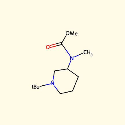 COC(=O)N(C)C1CCCN(C(C)(C)C)C1